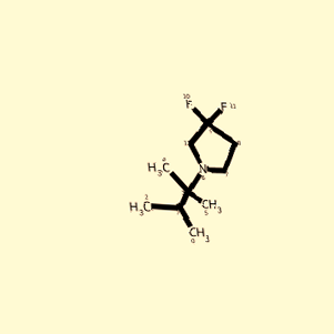 CC(C)C(C)(C)N1CCC(F)(F)C1